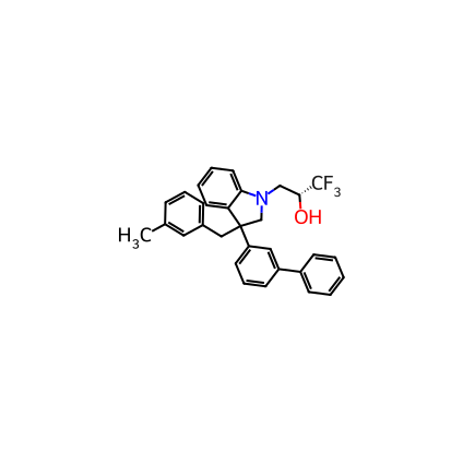 Cc1cccc(CC2(c3cccc(-c4ccccc4)c3)CN(C[C@@H](O)C(F)(F)F)c3ccccc32)c1